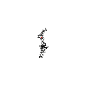 COc1nc2[nH]cc(F)c2cc1Oc1cc(N2CCC3(CC2)CC(N2CCN(CC45CC(C(F)F)(C4)C5)C[C@H]2c2ccccc2C(C)C)C3)ccc1C(=O)NS(=O)(=O)c1cnc(NCC2CCC(C)(O)CC2)c([N+](=O)[O-])c1